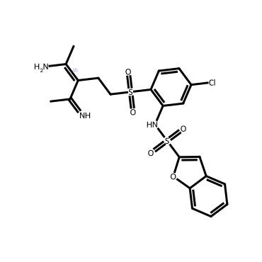 CC(=N)/C(CCS(=O)(=O)c1ccc(Cl)cc1NS(=O)(=O)c1cc2ccccc2o1)=C(/C)N